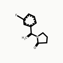 C=C(c1cccc(F)c1)N1CCCC1=O